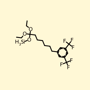 CCOC(CCCCCCc1cc(C(F)(F)F)cc(C(F)(F)F)c1)(O[SiH3])OCC